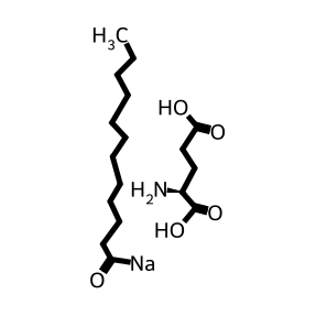 CCCCCCCCCCC[C](=O)[Na].N[C@@H](CCC(=O)O)C(=O)O